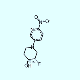 O=[N+]([O-])c1ccc(N2CC[C@H](O)[C@@H](F)C2)cn1